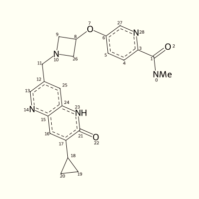 CNC(=O)c1ccc(OC2CN(Cc3cnc4cc(C5CC5)c(=O)[nH]c4c3)C2)cn1